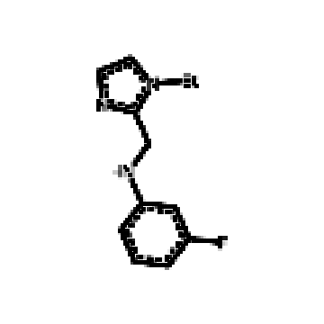 CCn1ccnc1CNc1cccc(F)c1